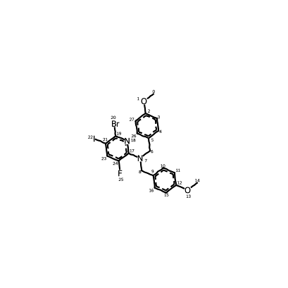 COc1ccc(CN(Cc2ccc(OC)cc2)c2nc(Br)c(I)cc2F)cc1